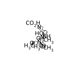 CC1=C(CN(C)C)C(=O)N(C2CCP(C)(=O)CC2)C(=O)/C1=N/Nc1cccc(C2CCN(CC(=O)O)CC2)c1O